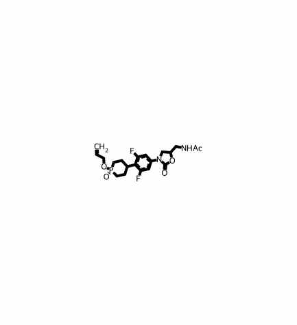 C=CCOP1(=O)CCC(c2c(F)cc(N3CC(CNC(C)=O)OC3=O)cc2F)CC1